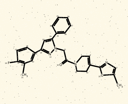 Cc1cnc(C2=CCN(C(=O)Cn3nc(-c4ccc(F)c(C)c4)cc3-c3ccccc3)CC2)o1